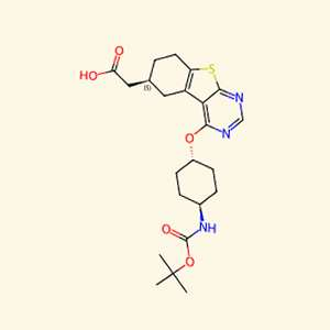 CC(C)(C)OC(=O)N[C@H]1CC[C@H](Oc2ncnc3sc4c(c23)C[C@@H](CC(=O)O)CC4)CC1